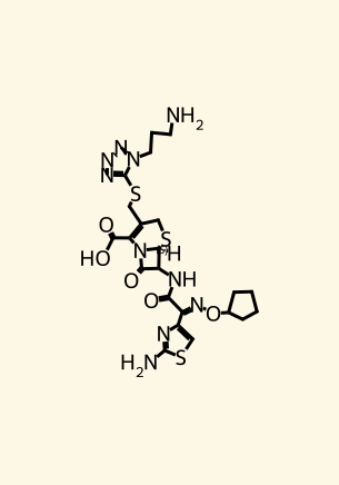 NCCCn1nnnc1SCC1=C(C(=O)O)N2C(=O)C(NC(=O)C(=NOC3CCCC3)c3csc(N)n3)[C@@H]2SC1